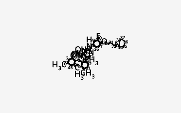 Cc1cc(C)c(C(c2cc(C)ccc2C)N(C(=O)O)c2ccnc(Nc3ccc(OCCCN4CCCCC4)c(F)c3)n2)c(C)c1